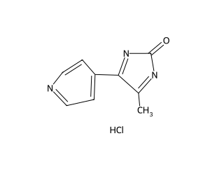 CC1=NC(=O)N=C1c1ccncc1.Cl